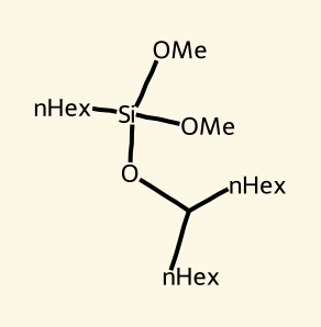 CCCCCCC(CCCCCC)O[Si](CCCCCC)(OC)OC